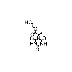 C=C(C(=O)OCCO)n1c(=O)[nH]c(=O)[nH]c1=O